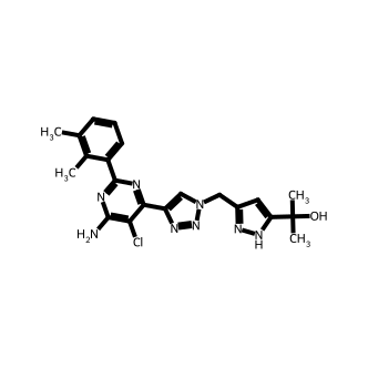 Cc1cccc(-c2nc(N)c(Cl)c(-c3cn(Cc4cc(C(C)(C)O)[nH]n4)nn3)n2)c1C